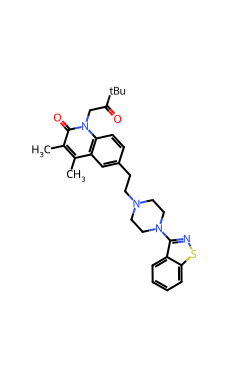 Cc1c(C)c2cc(CCN3CCN(c4nsc5ccccc45)CC3)ccc2n(CC(=O)C(C)(C)C)c1=O